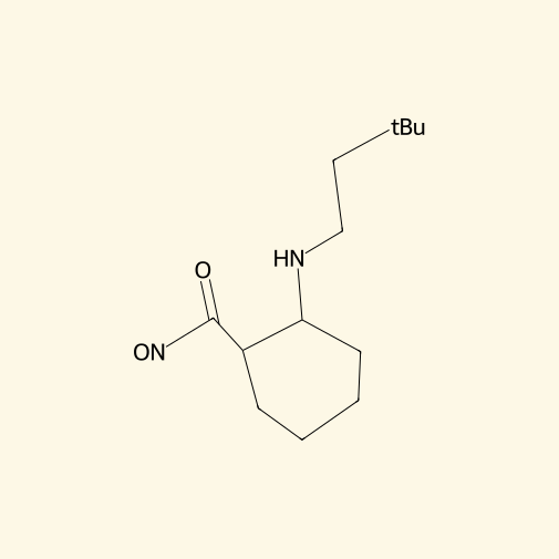 CC(C)(C)CCNC1CCCCC1C(=O)N=O